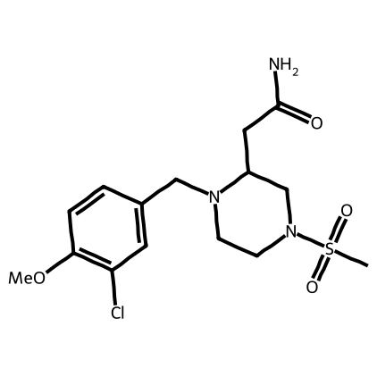 COc1ccc(CN2CCN(S(C)(=O)=O)CC2CC(N)=O)cc1Cl